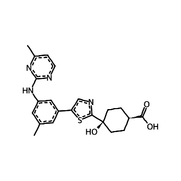 Cc1cc(Nc2nccc(C)n2)cc(-c2cnc([C@]3(O)CC[C@@H](C(=O)O)CC3)s2)c1